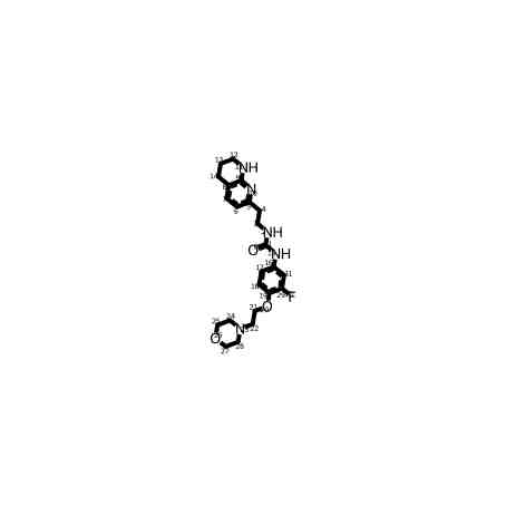 O=C(NCCc1ccc2c(n1)NCCC2)Nc1ccc(OCCN2CCOCC2)c(F)c1